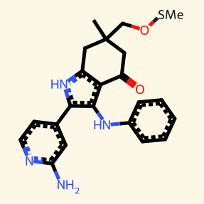 CSOCC1(C)CC(=O)c2c([nH]c(-c3ccnc(N)c3)c2Nc2ccccc2)C1